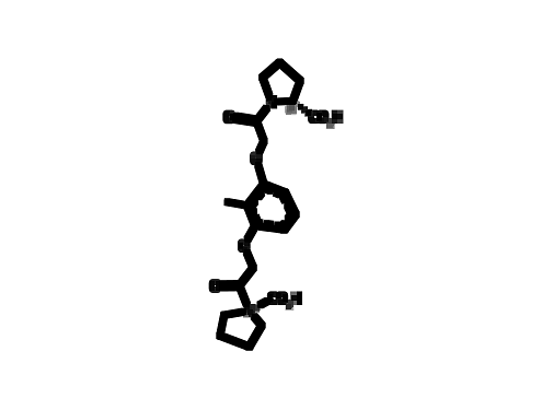 Cc1c(OCC(=O)N2CCC[C@@H]2C(=O)O)cccc1OCC(=O)[N+]1(C(=O)O)CCCC1